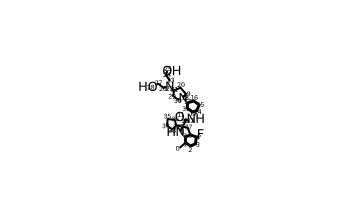 Cc1ccc(F)c2c1NC(C(=O)Nc1cccc(N3CCC(N(CCO)CCO)CC3)c1)(C1CCCC1)C2